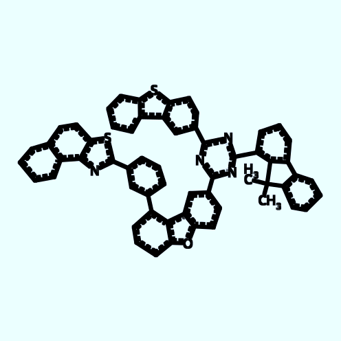 CC1(C)c2ccccc2-c2cccc(-c3nc(-c4ccc5sc6ccccc6c5c4)nc(-c4ccc5oc6cccc(-c7cccc(-c8nc9c(ccc%10ccccc%109)s8)c7)c6c5c4)n3)c21